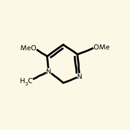 COC1=CC(OC)=NCN1C